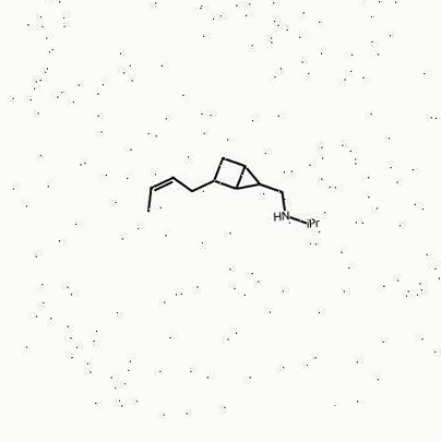 C/C=C\CC1CC2C(CNC(C)C)C12